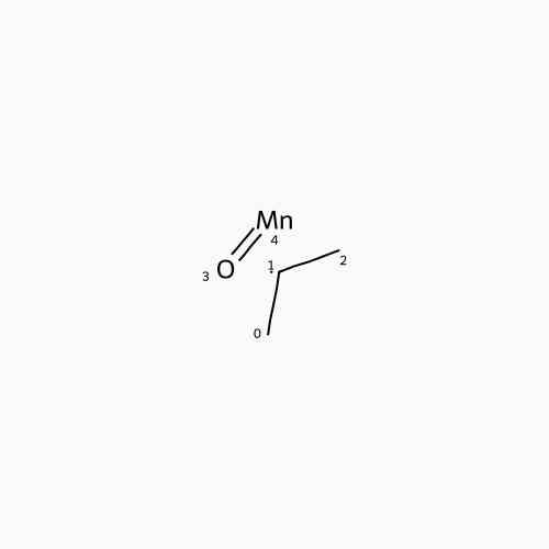 C[CH]C.[O]=[Mn]